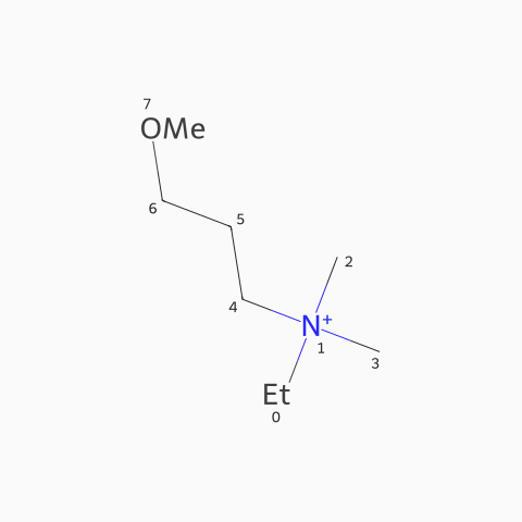 CC[N+](C)(C)CCCOC